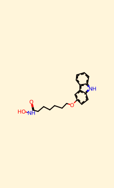 O=C(CCCCCCOc1ccc2[nH]c3ccccc3c2c1)NO